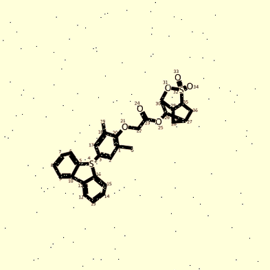 Cc1cc(-[s+]2c3ccccc3c3ccccc32)cc(C)c1OCC(=O)OC1C2CC3C1OS(=O)(=O)C3C2